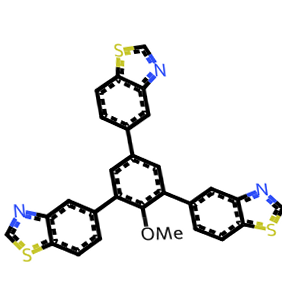 COc1c(-c2ccc3scnc3c2)cc(-c2ccc3scnc3c2)cc1-c1ccc2scnc2c1